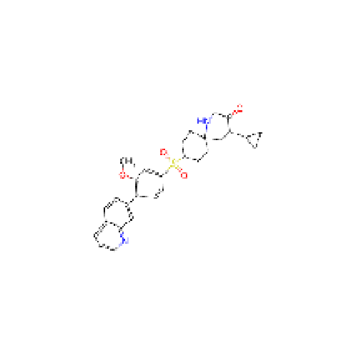 COc1cc(S(=O)(=O)C2CCC3(CC2)CC(C2CC2)C(=O)CN3)ccc1-c1ccc2cccnc2c1